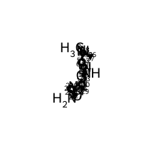 Cn1cc(-c2ccc3sc(NC(=O)Cc4ccc(Oc5ncccc5C(N)=O)c(F)c4)nc3c2)c(C2CC2)n1